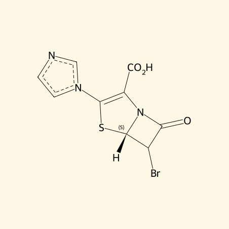 O=C(O)C1=C(n2ccnc2)S[C@H]2C(Br)C(=O)N12